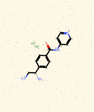 Cl.Cl.NC[C@@H](N)c1ccc(C(=O)Nc2ccncc2)cc1